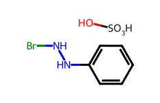 BrNNc1ccccc1.O=S(=O)(O)O